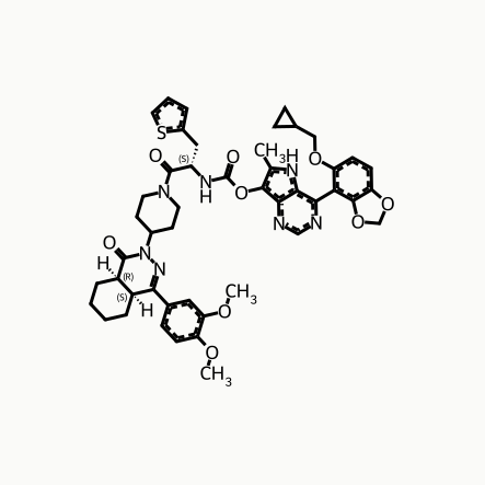 COc1ccc(C2=NN(C3CCN(C(=O)[C@H](Cc4cccs4)NC(=O)Oc4c(C)[nH]c5c(-c6c(OCC7CC7)ccc7c6OCO7)ncnc45)CC3)C(=O)[C@@H]3CCCC[C@H]23)cc1OC